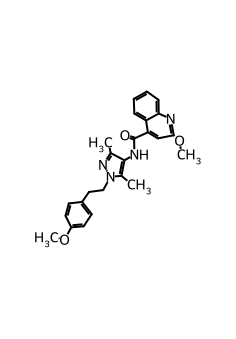 COc1ccc(CCn2nc(C)c(NC(=O)c3cc(OC)nc4ccccc34)c2C)cc1